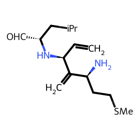 C=C[C@H](N[C@H](C=O)CC(C)C)C(=C)[C@@H](N)CCSC